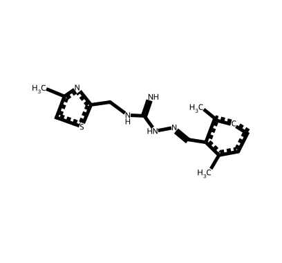 Cc1csc(CNC(=N)N/N=C/c2c(C)cccc2C)n1